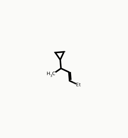 CCC=CC(C)C1[CH]C1